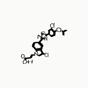 CC(C)Oc1ccc(-c2nc(-c3ccc4c(c3)c(Cl)cn4CCC(=O)O)no2)cc1Cl